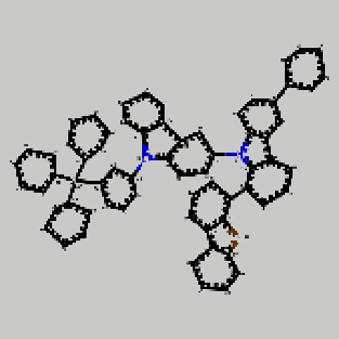 c1ccc(-c2ccc3c(c2)c2cccc(-c4cccc5c4sc4ccccc45)c2n3-c2ccc3c(c2)c2ccccc2n3-c2cccc([Si](c3ccccc3)(c3ccccc3)c3ccccc3)c2)cc1